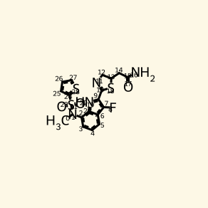 CN(c1cccc2c(F)c(C3=NCC(CC(N)=O)S3)[nH]c12)S(=O)(=O)c1cccs1